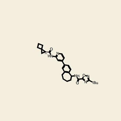 CC(C)(C)c1noc(C(=O)NC2CCCCc3cc(-c4ccnc(NC(=O)[C@H]5CC56CCC6)c4)ccc32)n1